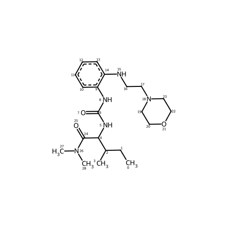 CCC(C)C(NC(=O)Nc1ccccc1NCCN1CCOCC1)C(=O)N(C)C